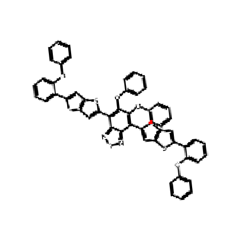 c1ccc(Oc2ccccc2-c2cc3sc(-c4c(Oc5ccccc5)c(Oc5ccccc5)c(-c5cc6sc(-c7ccccc7Oc7ccccc7)cc6s5)c5nsnc45)cc3s2)cc1